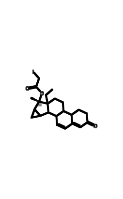 CCC12CCC3C4CCC(=O)C=C4C=CC3C1C1CC1[C@]2(C)OC(=O)CI